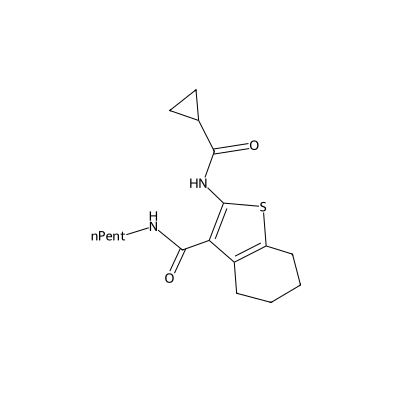 CCCCCNC(=O)c1c(NC(=O)C2CC2)sc2c1CCCC2